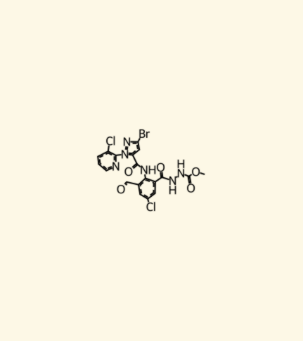 COC(=O)NNC(=O)c1cc(Cl)cc(C=O)c1NC(=O)c1cc(Br)nn1-c1ncccc1Cl